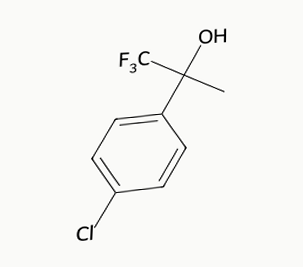 CC(O)(c1ccc(Cl)cc1)C(F)(F)F